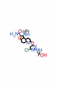 CCCNc1c(C(N)=O)oc2ccc3nc(Oc4cc(Cl)nc(NCC(C)(C)O)n4)ccc3c12